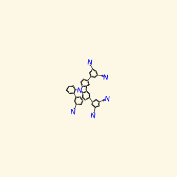 N#Cc1cc(C#N)cc(-c2ccc3c(c2)c2cc(-c4cc(C#N)cc(C#N)c4)ccc2n3-c2ccccc2-c2cccc(C#N)c2)c1